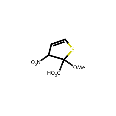 COC1(C(=O)O)SC=CC1[N+](=O)[O-]